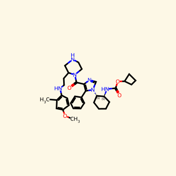 COc1ccc(NCCC2CNCCN2C(=O)c2ncn([C@H]3CCCC[C@@H]3NC(=O)OC3CCC3)c2-c2ccccc2)c(C)c1